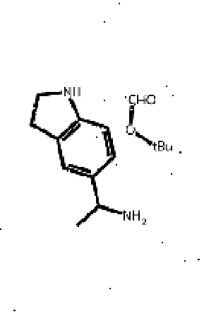 CC(C)(C)OC=O.CC(N)c1ccc2c(c1)CCN2